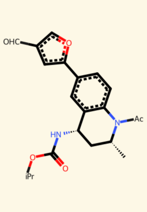 CC(=O)N1c2ccc(-c3cc(C=O)co3)cc2[C@@H](NC(=O)OC(C)C)C[C@H]1C